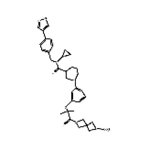 CC(C)(Oc1cccc(N2CCCC(C(=O)N(Cc3ccc(-c4cn[nH]c4)cc3)C3CC3)C2)c1)C(=O)N1CC2(CN(C(=O)O)C2)C1